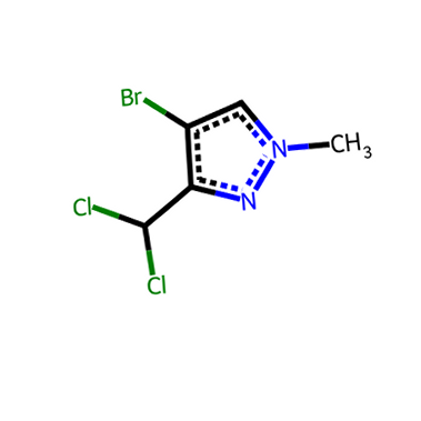 Cn1cc(Br)c(C(Cl)Cl)n1